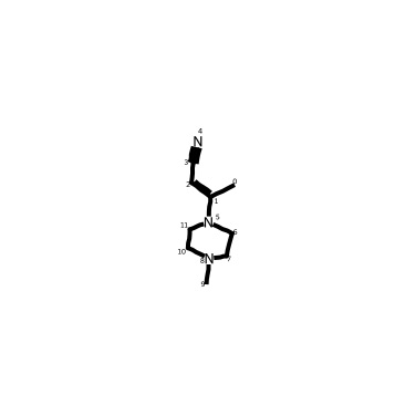 CC(=CC#N)N1CCN(C)CC1